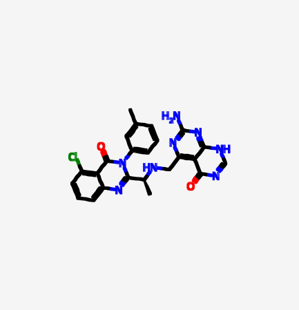 Cc1cccc(-n2c([C@H](C)NCc3nc(N)nc4[nH]cnc(=O)c34)nc3cccc(Cl)c3c2=O)c1